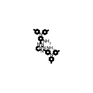 Cc1ccc(N(c2ccc(C)cc2)c2ccc(C3=NC4=CC=CC5=NC(c6ccc(N(c7ccc(C)cc7)c7ccc(C)cc7)cc6N)=NC(=N3)N45)c(N)c2)cc1